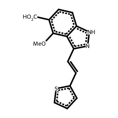 COc1c(C(=O)O)ccc2[nH]nc(C=Cc3cccs3)c12